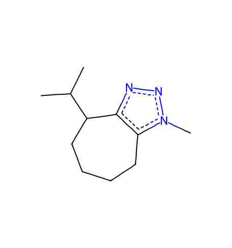 CC(C)C1CCCCc2c1nnn2C